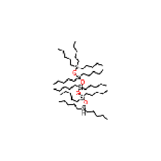 CCCCC[SiH](CCCCC)O[Si](CCCCC)(CCCCC)O[Si](CCCCC)(CCCCC)O[Si](CCCCC)(CCCCC)O[Si](CCCCC)(CCCCC)CCCCC